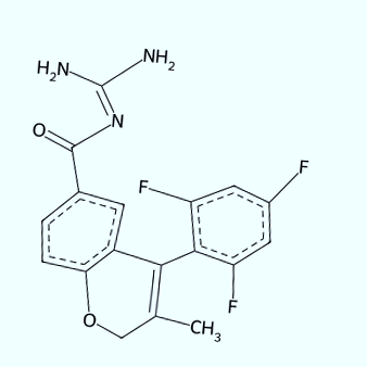 CC1=C(c2c(F)cc(F)cc2F)c2cc(C(=O)N=C(N)N)ccc2OC1